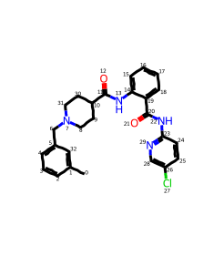 Cc1cccc(CN2CCC(C(=O)Nc3ccccc3C(=O)Nc3ccc(Cl)cn3)CC2)c1